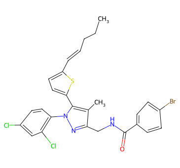 CCCC=Cc1ccc(-c2c(C)c(CNC(=O)c3ccc(Br)cc3)nn2-c2ccc(Cl)cc2Cl)s1